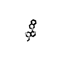 CCN1COCc2c1ccnc2N1CCc2ccccc2C1